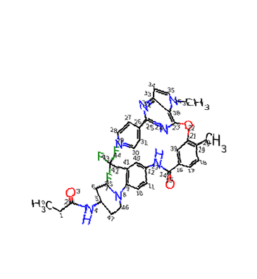 CCC(=O)NC1CCN(c2ccc(NC(=O)c3ccc(C)c(Oc4nc(-c5ccncc5)nc5ccn(C)c45)c3)cc2C(F)(F)F)CC1